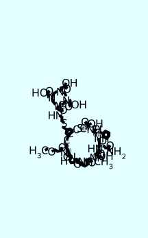 CCOCCC(=O)N[C@H]1CSCc2cc(CSCCNC(=O)CN3CCN(CC(=O)O)CCN(CC(=O)O)CCN(CC(=O)O)CC3)cc(c2)CSC[C@@H](C(=O)O)NC(=O)[C@H](Cc2ccccc2)NC(=O)[C@H](CCC(N)=O)NC(=O)[C@H]([C@@H](C)O)NC(=O)[C@@H]2CCCN2C(=O)[C@@H]2CCCN2C1=O